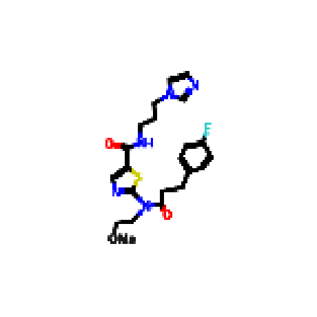 COCCN(C(=O)CCc1ccc(F)cc1)c1ncc(C(=O)NCCCn2ccnc2)s1